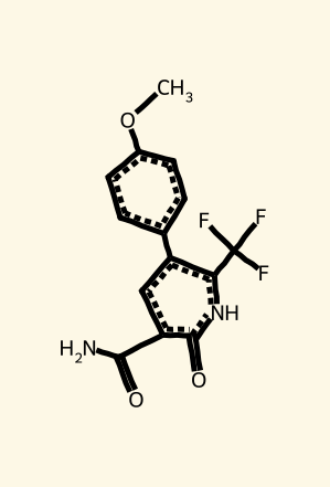 COc1ccc(-c2cc(C(N)=O)c(=O)[nH]c2C(F)(F)F)cc1